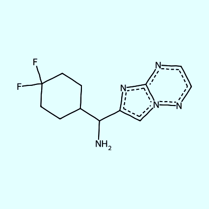 NC(c1cn2nccnc2n1)C1CCC(F)(F)CC1